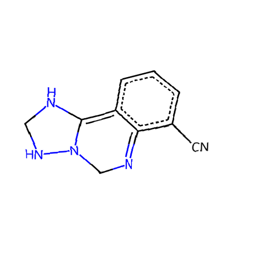 N#Cc1cccc2c1=NCN1NCNC=21